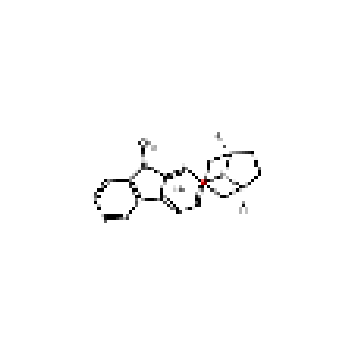 Cn1c2ccncc2c2ccc(N3[C@@H]4CC[C@H]3C[C@H]([18F])C4)nc21